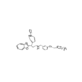 O=C(O)COc1cccc(CNCCC(c2ccc(Cl)cc2)c2nc3ccccc3o2)c1